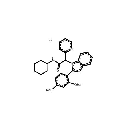 COc1ccc(-c2nc3ccccc3n2C(C(=O)NC2CCCCC2)c2ccccn2)c(OC)c1.[Cl-].[H+]